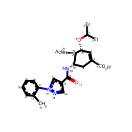 CCC(CC)O[C@@H]1C=C(C(=O)O)C[C@H](NC(=O)c2cnn(-c3ccccc3C)c2)[C@H]1NC(C)=O